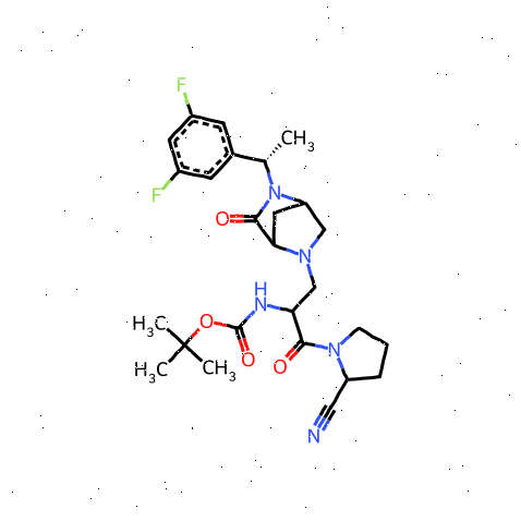 C[C@@H](c1cc(F)cc(F)c1)N1C(=O)C2CC1CN2CC(NC(=O)OC(C)(C)C)C(=O)N1CCCC1C#N